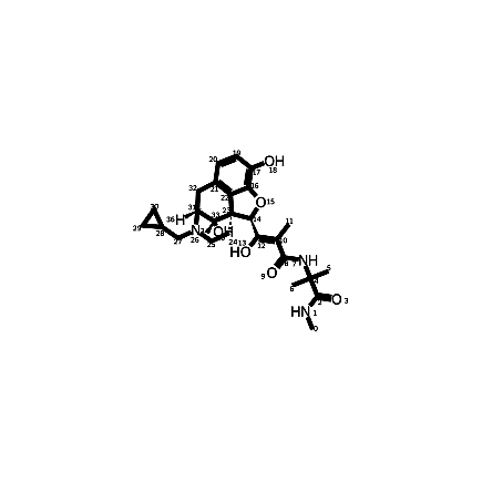 CNC(=O)C(C)(C)NC(=O)/C(C)=C(\O)[C@@H]1Oc2c(O)ccc3c2[C@@]12CCN(CC1CC1)[C@H](C3)[C@@]2(C)O